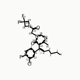 CCCC/C=C(/c1ccc(F)c(Cl)c1)c1c(C)ncn(CC(=O)N2CC(F)(F)C2)c1=O